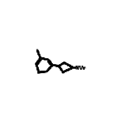 CNC1CC(C2=CC(C)=CCC2)C1